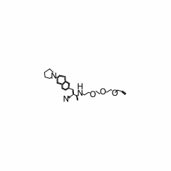 C#CCOCCOCCOCCNC(=C)/C(C#N)=C/c1ccc2cc(N3CCCCC3)ccc2c1